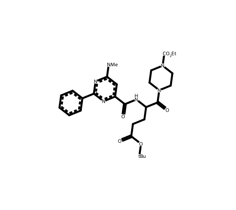 CCOC(=O)N1CCN(C(=O)C(CCC(=O)OC(C)(C)C)NC(=O)c2cc(NC)nc(-c3ccccc3)n2)CC1